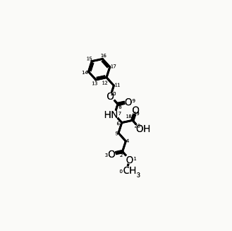 COC(=O)CCC(NC(=O)OCc1ccccc1)C(=O)O